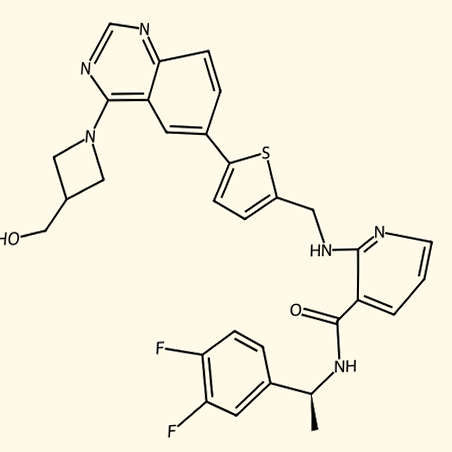 C[C@H](NC(=O)c1cccnc1NCc1ccc(-c2ccc3ncnc(N4CC(CO)C4)c3c2)s1)c1ccc(F)c(F)c1